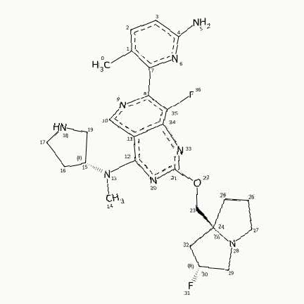 Cc1ccc(N)nc1-c1ncc2c(N(C)[C@@H]3CCNC3)nc(OC[C@@]34CCCN3C[C@H](F)C4)nc2c1F